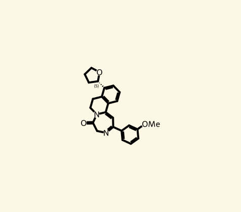 COc1cccc(C2=NCC(=O)N3CCc4c(cccc4[C@@H]4CCCO4)C3=C2)c1